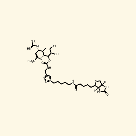 C[C@H]1[C@H]([C@H](OC(=O)NCc2cn(CCCCCNC(=O)CCCCC3SC[C@@H]4NC(=O)N[C@H]34)nn2)[C@H](O)CO)OC(C(=O)O)=C[C@@H]1NC(=N)N